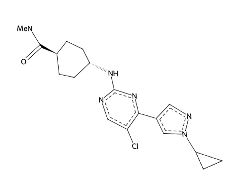 CNC(=O)[C@H]1CC[C@H](Nc2ncc(Cl)c(-c3cnn(C4CC4)c3)n2)CC1